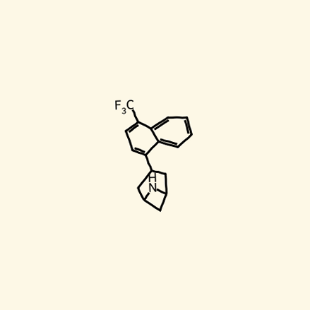 FC(F)(F)c1ccc(C2CC3CC(C2)N3)c2ccccc12